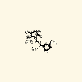 Cc1cccc(COCN2C(=O)NC=C(Cl)C2S(=O)(=O)[O-])c1.[Na+]